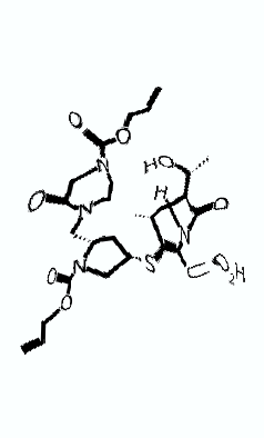 C=CCOC(=O)N1CCN(C[C@@H]2C[C@H](SC3=C(C(=O)O)N4C(=O)[C@H]([C@@H](C)O)[C@H]4[C@H]3C)CN2C(=O)OCC=C)C(=O)C1